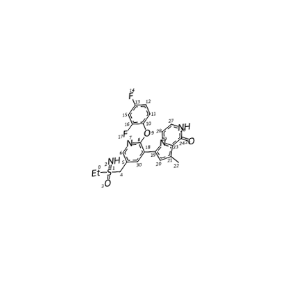 CCS(=N)(=O)Cc1cnc(Oc2ccc(F)cc2F)c(-c2cc(C)c3c(=O)[nH]ccn23)c1